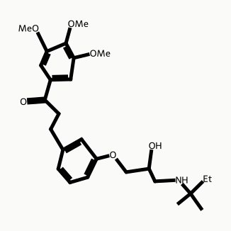 CCC(C)(C)NCC(O)COc1cccc(CCC(=O)c2cc(OC)c(OC)c(OC)c2)c1